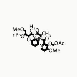 CCCO[C@@H](COC)[C@@H](Oc1ccccc1)[C@H](C)OC(=O)[C@H](C)NC(=O)c1nccc(OC)c1OCOC(C)=O